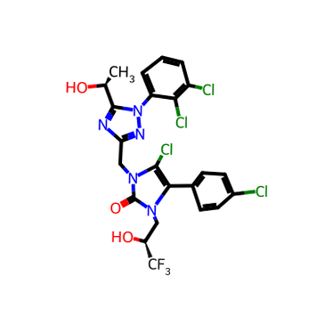 C[C@H](O)c1nc(Cn2c(Cl)c(-c3ccc(Cl)cc3)n(C[C@H](O)C(F)(F)F)c2=O)nn1-c1cccc(Cl)c1Cl